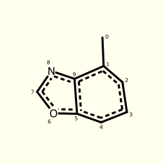 Cc1cccc2ocnc12